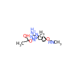 CCC[C@H](CCO)Oc1nc(N)c2ncc(Cc3ccc(OCCNC)cc3C)n2n1